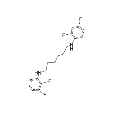 Fc1ccc(NCCCCCCNc2cccc(F)c2F)c(F)c1